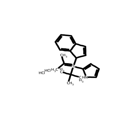 C[C](C)=[Ti]([c]1ccc[nH]1)([CH]1C=Cc2ccccc21)[C](C)(C)C.Cl.Cl